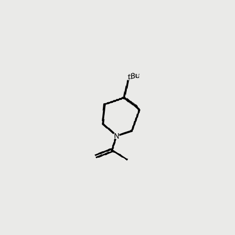 C=C(C)N1CCC(C(C)(C)C)CC1